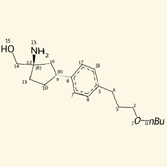 CCCCOCCCc1ccc([C@@H]2CC[C@](N)(CO)C2)cc1